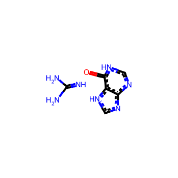 N=C(N)N.O=c1[nH]cnc2nc[nH]c12